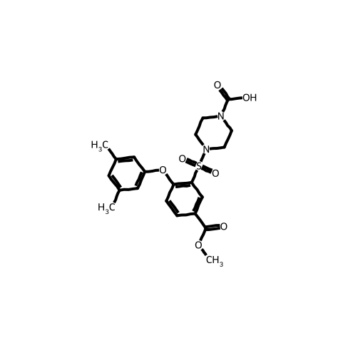 COC(=O)c1ccc(Oc2cc(C)cc(C)c2)c(S(=O)(=O)N2CCN(C(=O)O)CC2)c1